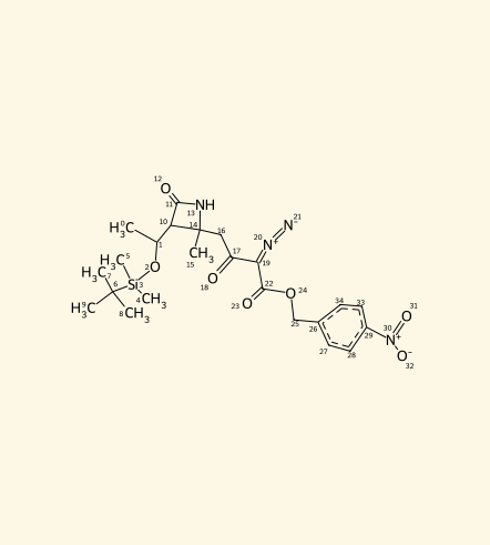 CC(O[Si](C)(C)C(C)(C)C)C1C(=O)NC1(C)CC(=O)C(=[N+]=[N-])C(=O)OCc1ccc([N+](=O)[O-])cc1